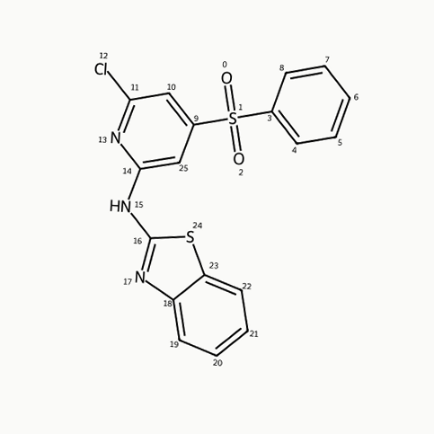 O=S(=O)(c1ccccc1)c1cc(Cl)nc(Nc2nc3ccccc3s2)c1